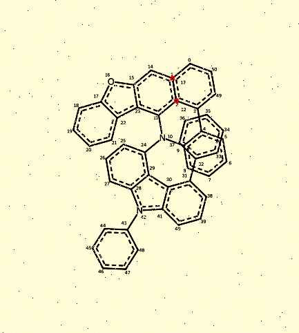 c1ccc(-c2ccccc2N(c2cccc3oc4ccccc4c23)c2cccc3c2c2c(-c4ccccc4)cccc2n3-c2ccccc2)cc1